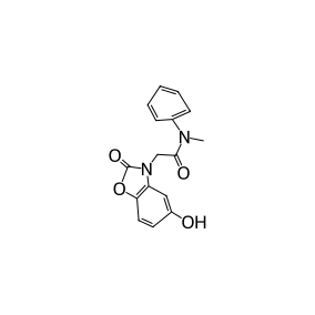 CN(C(=O)Cn1c(=O)oc2ccc(O)cc21)c1ccccc1